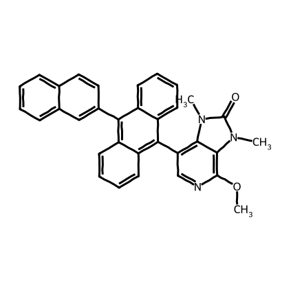 COc1ncc(-c2c3ccccc3c(-c3ccc4ccccc4c3)c3ccccc23)c2c1n(C)c(=O)n2C